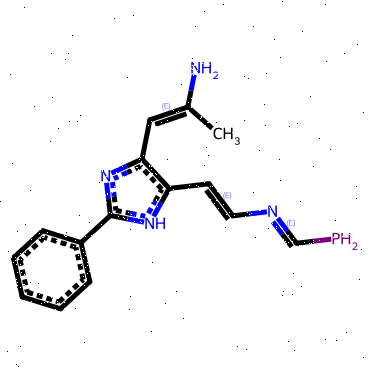 C/C(N)=C\c1nc(-c2ccccc2)[nH]c1/C=C/N=C/P